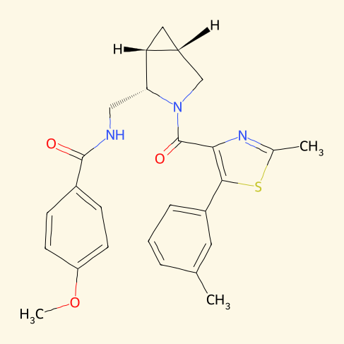 COc1ccc(C(=O)NC[C@@H]2[C@@H]3C[C@@H]3CN2C(=O)c2nc(C)sc2-c2cccc(C)c2)cc1